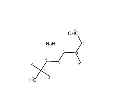 CC(CC=O)CCCC(C)(C)O.[NaH]